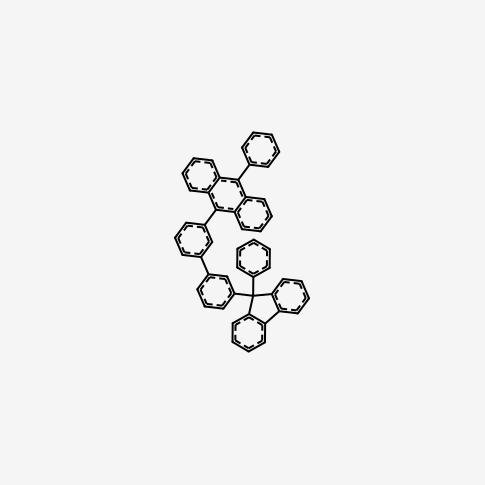 c1ccc(-c2c3ccccc3c(-c3cccc(-c4cccc(C5(c6ccccc6)c6ccccc6-c6ccccc65)c4)c3)c3ccccc23)cc1